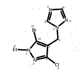 CCn1nc(Cl)c(Cn2cncn2)c1Br